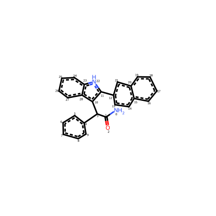 NC(=O)C(c1ccccc1)c1c(-c2ccc3ccccc3c2)[nH]c2ccccc12